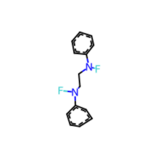 FN(CCN(F)c1ccccc1)c1ccccc1